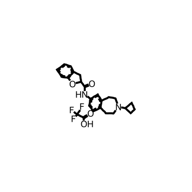 O=C(Nc1ccc2c(c1)CCN(C1CCC1)CC2)C1Cc2ccccc2O1.O=C(O)C(F)(F)F